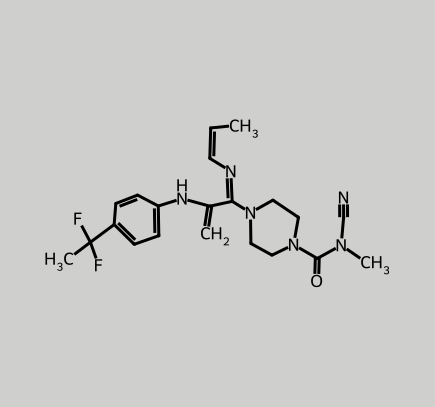 C=C(Nc1ccc(C(C)(F)F)cc1)/C(=N\C=C/C)N1CCN(C(=O)N(C)C#N)CC1